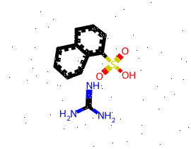 N=C(N)N.O=S(=O)(O)c1cccc2ccccc12